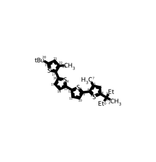 CCC(C)(CC)c1cc(C)c(-c2ccc(-c3ccc(-c4sc(C(C)(C)C)cc4C)s3)s2)s1